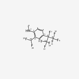 CNc1ccc(C(F)(C(F)(F)F)C(F)(F)F)cc1C(F)F